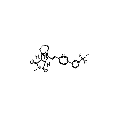 CN1C(=O)[C@@H]2[C@H](C1=O)[C@H](/C=C/c1ccc(-c3cccc(C(F)(F)F)c3)cn1)N1CCCC[C@@H]21